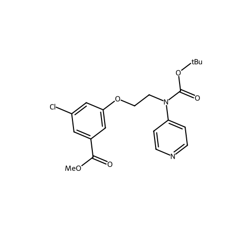 COC(=O)c1cc(Cl)cc(OCCN(C(=O)OC(C)(C)C)c2ccncc2)c1